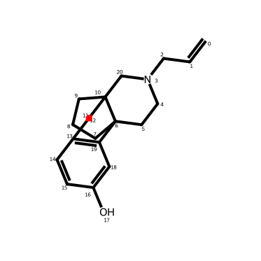 C=CCN1CCC23CCCC2(CCc2ccc(O)cc23)C1